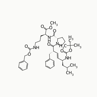 COC(=O)[C@H](CCCNC(=O)OCc1ccccc1)NC(=O)[C@@H]1CCCN1C(=O)[C@H](/C=C/[C@H](CC(C)C)NC(=O)OC(C)(C)C)Cc1ccccc1